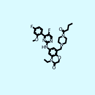 CCCC(=O)N1CCN(Cc2cc(Nc3ncc(F)c(-c4ccc(F)cc4OC)n3)cc3c2OCC(=O)N3CC)CC1